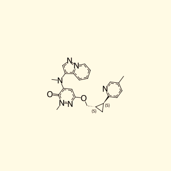 Cc1ccc([C@H]2C[C@@H]2COc2cc(N(C)c3cnn4ccccc34)c(=O)n(C)n2)nc1